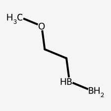 BBCCOC